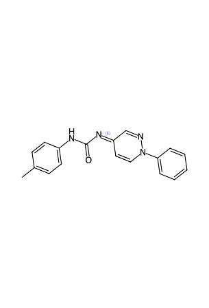 Cc1ccc(NC(=O)/N=c2\ccn(-c3ccccc3)nc2)cc1